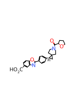 O=C(O)c1ccc2oc(-c3ccc([C@@H]4CC45CCN(C(=O)C4CCCO4)CC5)cc3)nc2c1